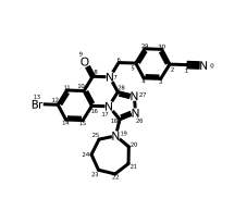 N#Cc1ccc(Cn2c(=O)c3cc(Br)ccc3n3c(N4CCCCCC4)nnc23)cc1